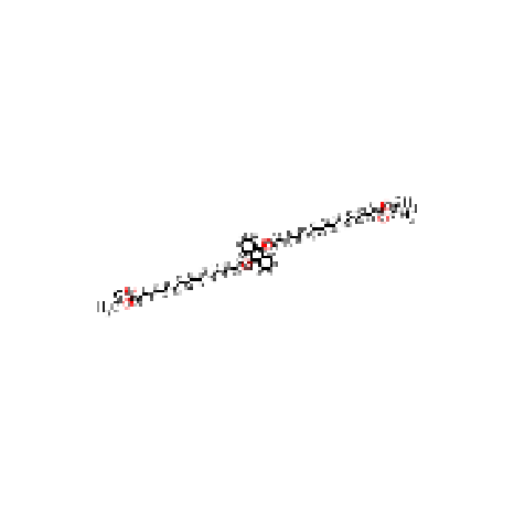 CC(C)OC(=O)CCCCCCCCCCCCCCCCCCOc1c2ccccc2c(OCCCCCCCCCCCCCCCCCCC(=O)OC(C)C)c2ccccc12